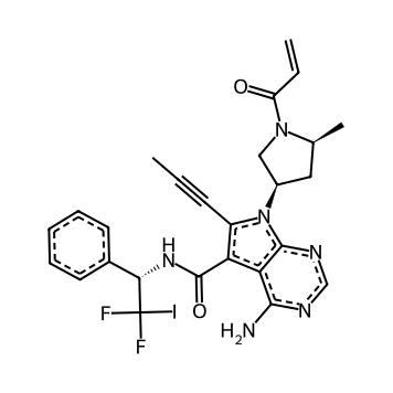 C=CC(=O)N1C[C@H](n2c(C#CC)c(C(=O)N[C@@H](c3ccccc3)C(F)(F)I)c3c(N)ncnc32)C[C@@H]1C